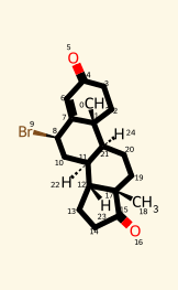 C[C@]12CCC(=O)C=C1[C@H](Br)C[C@@H]1[C@H]3CCC(=O)[C@@]3(C)CC[C@@H]12